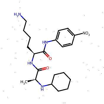 C[C@H](NC1CCCCC1)C(=O)N[C@@H](CCCCN)C(=O)Nc1ccc([N+](=O)[O-])cc1